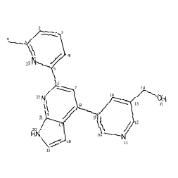 Cc1cccc(-c2cc(-c3cncc(CO)c3)c3cc[nH]c3n2)n1